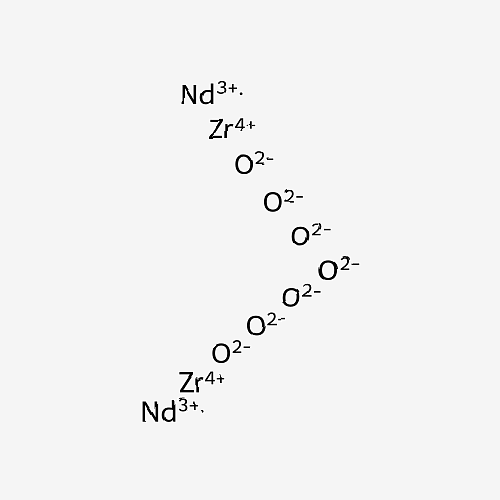 [Nd+3].[Nd+3].[O-2].[O-2].[O-2].[O-2].[O-2].[O-2].[O-2].[Zr+4].[Zr+4]